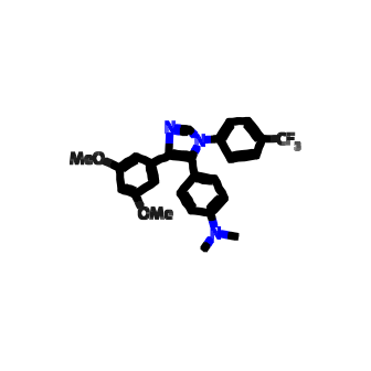 COc1cc(OC)cc(-c2ncn(-c3ccc(C(F)(F)F)cc3)c2-c2ccc(N(C)C)cc2)c1